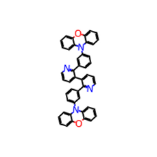 c1cc(-c2ncccc2-c2cccnc2-c2cccc(N3c4ccccc4Oc4ccccc43)c2)cc(N2c3ccccc3Oc3ccccc32)c1